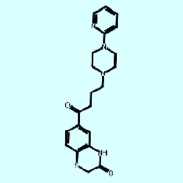 O=C1CSc2ccc(C(=O)CCCN3CCN(c4ccccn4)CC3)cc2N1